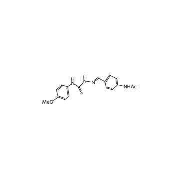 COc1ccc(NC(=S)NN=Cc2ccc(NC(C)=O)cc2)cc1